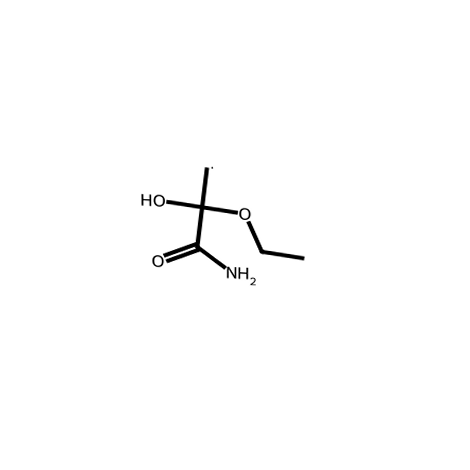 [CH2]C(O)(OCC)C(N)=O